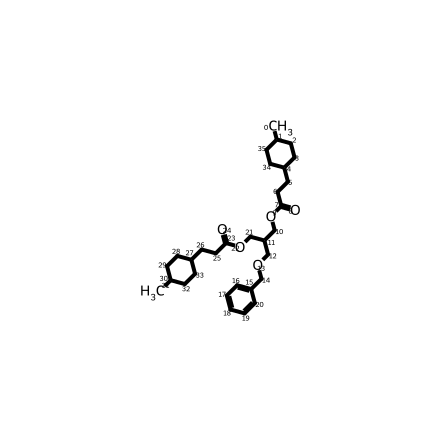 CC1CCC(CCC(=O)OCC(COCc2ccccc2)COC(=O)CCC2CCC(C)CC2)CC1